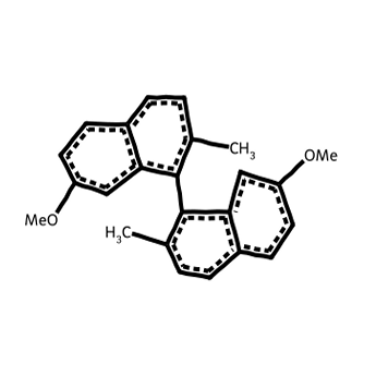 COc1ccc2ccc(C)c(-c3c(C)ccc4ccc(OC)cc34)c2c1